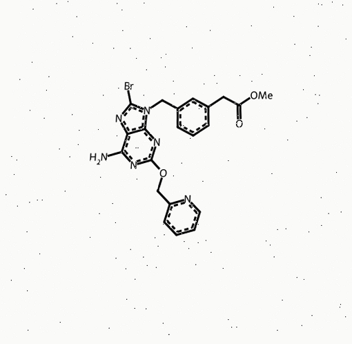 COC(=O)Cc1cccc(Cn2c(Br)nc3c(N)nc(OCc4ccccn4)nc32)c1